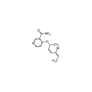 C/C=C(Br)\C=C/C(C)Oc1ccncc1C(N)=O